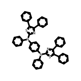 c1ccc(-c2nc(N(c3ccccc3)c3ccc(N(c4ccccc4)c4nc(-c5ccccc5)c(-c5ccccc5)s4)cc3)sc2-c2ccccc2)cc1